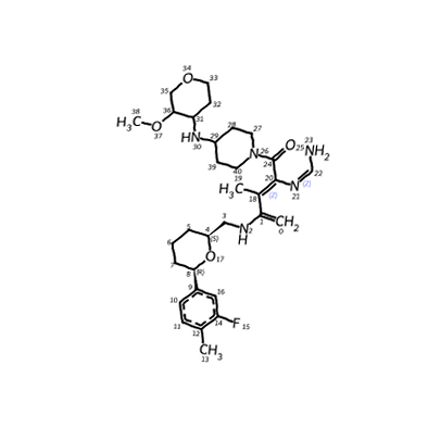 C=C(NC[C@@H]1CCC[C@H](c2ccc(C)c(F)c2)O1)/C(C)=C(\N=C/N)C(=O)N1CCC(NC2CCOCC2OC)CC1